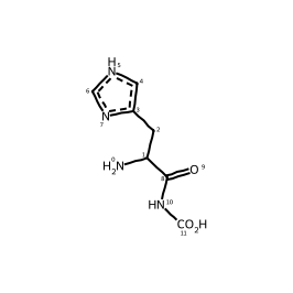 NC(Cc1c[nH]cn1)C(=O)NC(=O)O